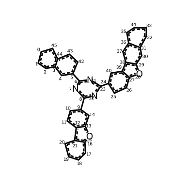 c1ccc2cc(-c3nc(-c4ccc5c(c4)oc4ccccc45)nc(-c4ccc5oc6cc7ccccc7cc6c5c4)n3)ccc2c1